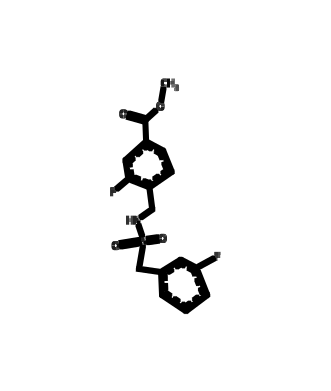 COC(=O)c1ccc(CNS(=O)(=O)Cc2cccc(F)c2)c(F)c1